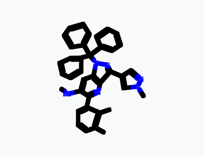 CNc1cc2c(nc1-c1cccc(C)c1C)c(-c1cnn(C)c1)nn2C(c1ccccc1)(c1ccccc1)c1ccccc1